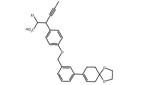 CC#CC(c1ccc(OCc2cccc(C3=CCC4(CC3)OCCO4)c2)cc1)C(CC)C(=O)O